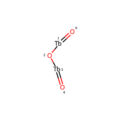 [O]=[Tb][O][Tb]=[O]